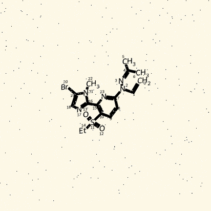 C=CN(N=C(C)C)c1ccc(S(=O)(=O)CC)c(-c2ncc(Br)n2C)n1